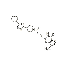 Cc1csc2c(=O)[nH]c(CCCC(=O)N3CCC(c4nnc(-c5ccccc5)o4)CC3)nc12